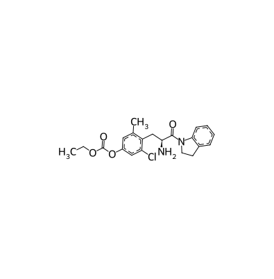 CCOC(=O)Oc1cc(C)c(C[C@H](N)C(=O)N2CCc3ccccc32)c(Cl)c1